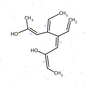 C=CC(=C/C(O)=C\C)/C(=C\C)/C=C(\C)O